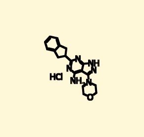 Cl.Nc1nc(C2Cc3ccccc3C2)nc2[nH]nc(N3CCOCC3)c12